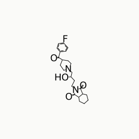 O=C(c1ccc(F)cc1)C1CCN(CC(O)CCN2C(=O)C3CCCCC3C2=O)CC1